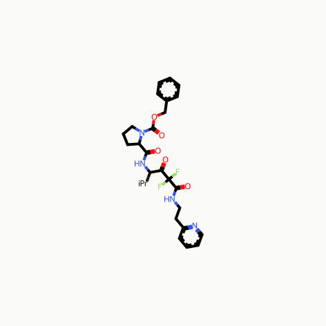 CC(C)C(NC(=O)C1CCCN1C(=O)OCc1ccccc1)C(=O)C(F)(F)C(=O)NCCc1ccccn1